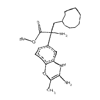 CC1=C(N)Nc2cc(C(N)(CC3CCCCC3)C(=O)OC(C)(C)C)ccc2O1